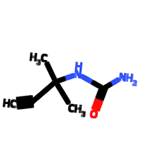 C#CC(C)(C)NC(N)=O